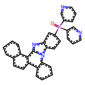 O=P(c1cccnc1)(c1cccnc1)c1ccc2c(c1)nc1c3c4ccccc4ccc3c3ccccc3n21